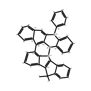 CC1(C)c2ccccc2-c2c1c1cccc3c1n2B1c2ccccc2N(c2ccccc2)c2cc4ccccc4c-3c21